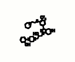 Oc1ccccc1N1CCN(CC(O)Cn2nc(-c3ccc(C(F)(F)F)c(SCCN4CCCCC4)c3)c3c2CCNC3)CC1